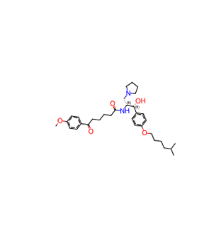 COc1ccc(C(=O)CCCCC(=O)N[C@H](CN2CCCC2)[C@H](O)c2ccc(OCCCCC(C)C)cc2)cc1